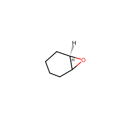 C1CC[C@H]2OC2C1